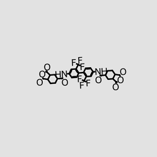 O=C(Nc1ccc(-c2ccc(NC(=O)C3CCC4C(=O)OC(=O)C4C3)cc2C(F)(F)F)c(C(F)(F)F)c1)C1CCC2C(=O)OC(=O)C2C1